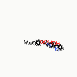 COc1ccc(OC[C@@H](O)CN2CCC(O)(c3cnc4ccccc4c3)CC2)cc1